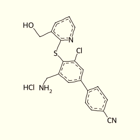 Cl.N#Cc1ccc(-c2cc(Cl)c(Sc3ncccc3CO)c(CN)c2)cc1